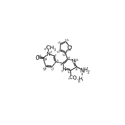 Cn1cc(-c2nc(C(=O)O)c(N)nc2-c2ccco2)ccc1=O